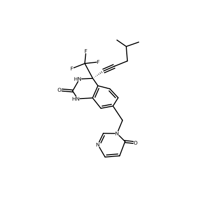 CC(C)CC#C[C@@]1(C(F)(F)F)NC(=O)Nc2cc(Cn3cnccc3=O)ccc21